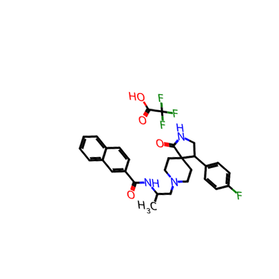 CC(CN1CCC2(CC1)C(=O)NCC2c1ccc(F)cc1)NC(=O)c1ccc2ccccc2c1.O=C(O)C(F)(F)F